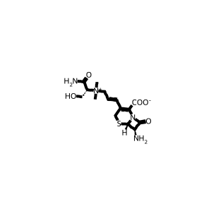 C[N+](C)(C/C=C/C1=C(C(=O)[O-])N2C(=O)[C@@H](N)[C@@H]2SC1)[C@H](CO)C(N)=O